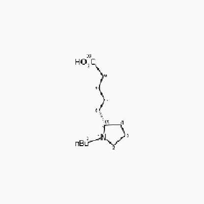 CCCCN1CCC[C@H]1CCCCC(=O)O